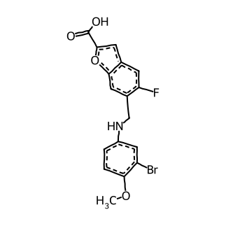 COc1ccc(NCc2cc3oc(C(=O)O)cc3cc2F)cc1Br